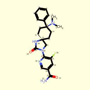 CN(C)[C@]1(c2ccccc2)CC[C@]2(CC1)CN(c1ncc(C(N)=O)cc1F)C(=O)N2